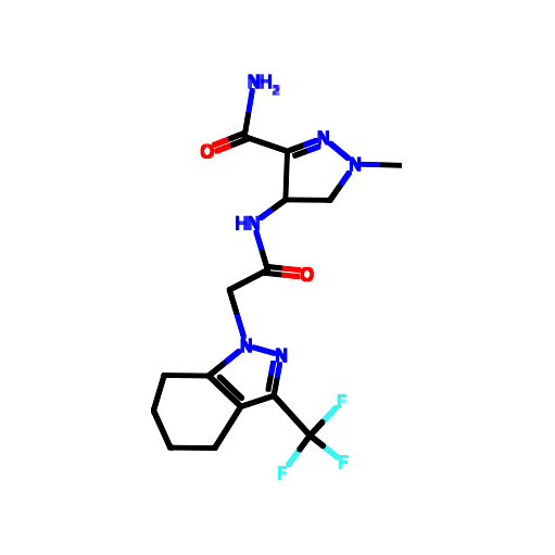 CN1CC(NC(=O)Cn2nc(C(F)(F)F)c3c2CCCC3)C(C(N)=O)=N1